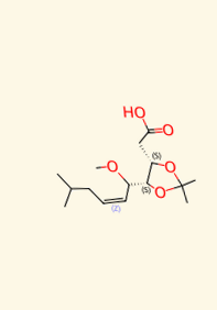 COC(/C=C\CC(C)C)[C@H]1OC(C)(C)O[C@H]1CC(=O)O